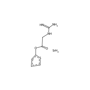 N=C(N)NCC(=O)Oc1cccs1.[SrH2]